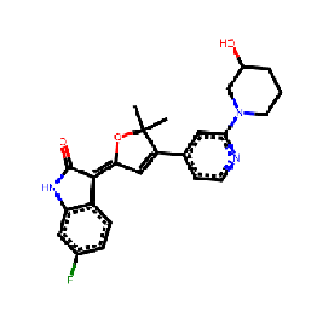 CC1(C)OC(=C2C(=O)Nc3cc(F)ccc32)C=C1c1ccnc(N2CCCC(O)C2)c1